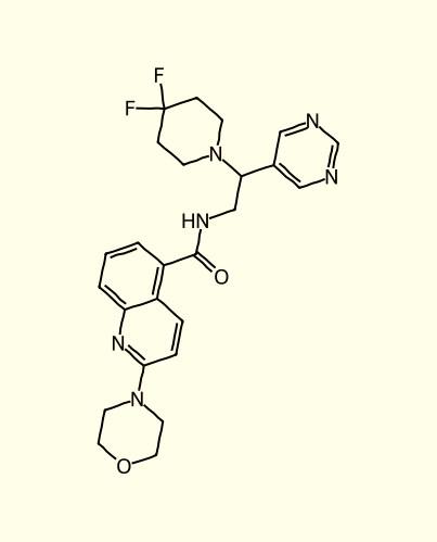 O=C(NCC(c1cncnc1)N1CCC(F)(F)CC1)c1cccc2nc(N3CCOCC3)ccc12